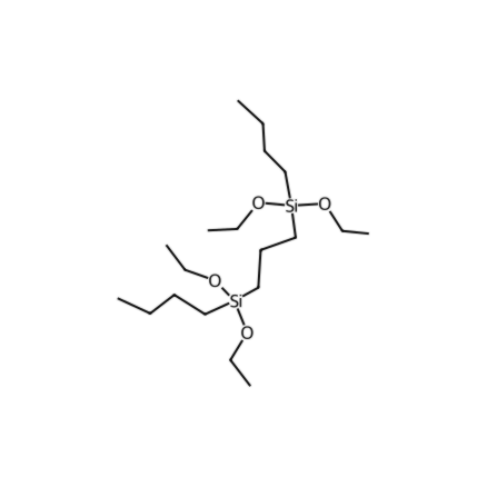 CCCC[Si](CCC[Si](CCCC)(OCC)OCC)(OCC)OCC